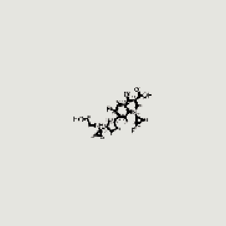 Cc1c(N2CC[C@@H](C3(NCCO)CC3)C2)c(F)cc2c(=O)c(C(=O)O)cn(C3C[C@@H]3F)c12